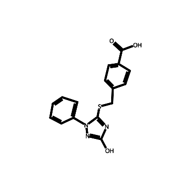 O=C(O)c1ccc(CSc2nc(O)nn2-c2ccccc2)cc1